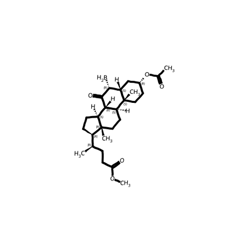 B[C@H]1C(=O)[C@@H]2[C@H](CC[C@]3(C)[C@@H]([C@H](C)CCC(=O)OC)CC[C@@H]23)[C@@]2(C)CC[C@@H](OC(C)=O)C[C@@H]12